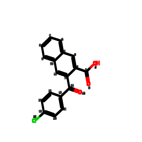 O=C(O)c1cc2ccccc2cc1C(=O)c1ccc(Cl)cc1